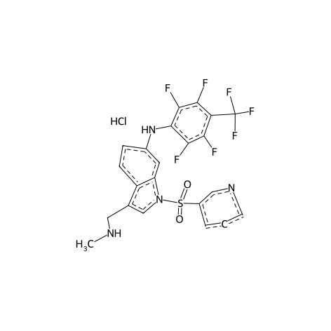 CNCc1cn(S(=O)(=O)c2cccnc2)c2cc(Nc3c(F)c(F)c(C(F)(F)F)c(F)c3F)ccc12.Cl